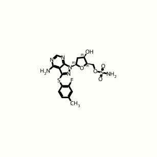 Cc1ccc(Sc2nn([C@H]3C[C@@H](O)[C@@H](COS(N)(=O)=O)O3)c3ncnc(N)c23)c(F)c1